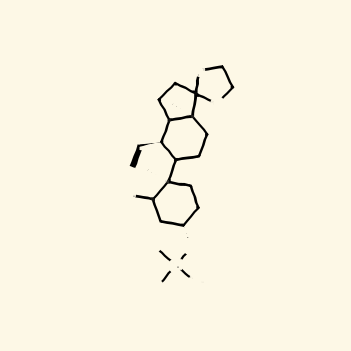 C=C[C@@H]1C([C@@]2(C)CC[C@H](O[Si](C)(C)C(C)(C)C)CC2O)CC[C@@]2(C)C1CCC21OCCO1